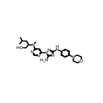 CC(C)CC(CO)N(C)c1cc(-n2nc(Nc3ccc(N4CCOCC4)cc3)nc2N)ncn1